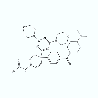 CN(C)C1CCN(C(=O)c2ccc(C3(c4nc(N5CCOCC5)nc(N5CCOCC5)n4)C=CC(NC(N)=O)=CC3)cc2)CC1